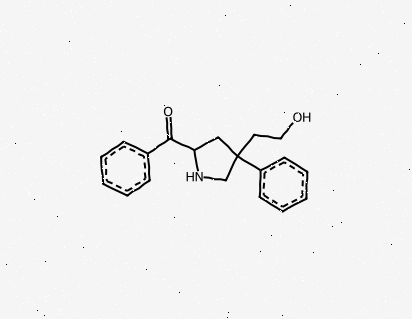 O=C(c1ccccc1)C1CC(CCO)(c2ccccc2)CN1